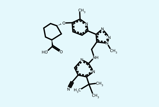 Cc1nc(-c2nnn(C)c2CNc2ncc(C#N)c(C(C)(C)C)n2)ccc1O[C@H]1CCC[C@H](C(=O)O)C1